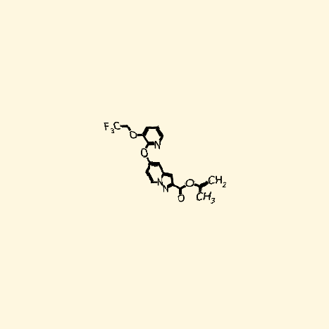 C=C(C)OC(=O)c1cc2cc(Oc3ncccc3OCC(F)(F)F)ccn2n1